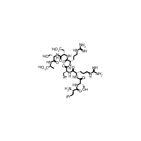 CC(C)C[C@H](NC(=O)[C@H](CCCNC(=N)N)NC(=O)[C@H](CO)NC(=O)[C@@H](N)CC(C)C)C(=O)N[C@@H](CCCNC(=N)N)C(=O)N[C@@H](CC(=O)O)C(=O)N[C@@H](CO)C(=O)N[C@@H](C)C(=O)O